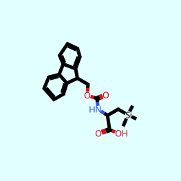 C[Si](C)(C)CC(NC(=O)OCC1c2ccccc2-c2ccccc21)C(=O)O